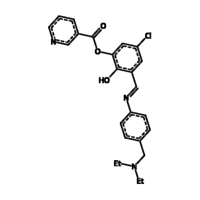 CCN(CC)Cc1ccc(N=Cc2cc(Cl)cc(OC(=O)c3cccnc3)c2O)cc1